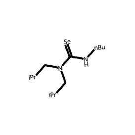 CCCCNC(=[Se])N(CC(C)C)CC(C)C